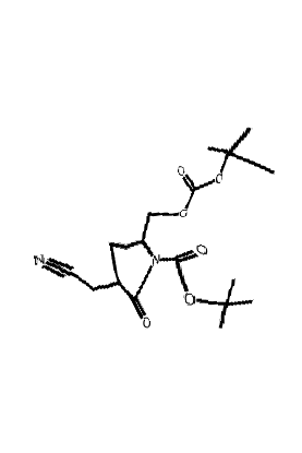 CC(C)(C)OC(=O)OCC1CC(CC#N)C(=O)N1C(=O)OC(C)(C)C